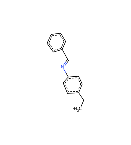 [CH2]Cc1ccc(N=Cc2ccccc2)cc1